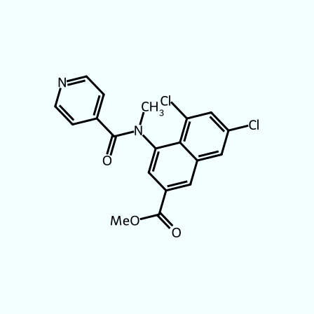 COC(=O)c1cc(N(C)C(=O)c2ccncc2)c2c(Cl)cc(Cl)cc2c1